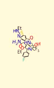 CCNc1nc2ccc(C(=O)NC[C@](O)(c3cc(CC(N)=O)c(OCC)c(-c4ccc(F)cc4)n3)C(F)(F)F)cc2s1